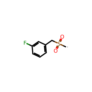 [CH2]S(=O)(=O)Cc1cccc(F)c1